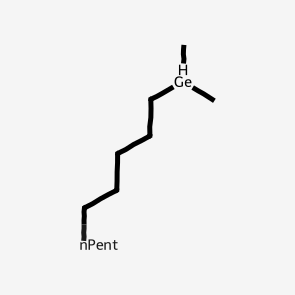 CCCCCCCCC[CH2][GeH]([CH3])[CH3]